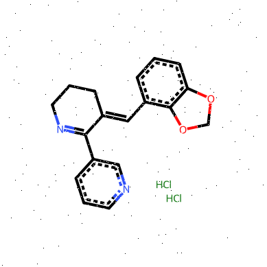 C(=C1CCCN=C1c1cccnc1)c1cccc2c1OCO2.Cl.Cl